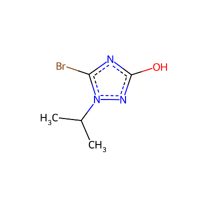 CC(C)n1nc(O)nc1Br